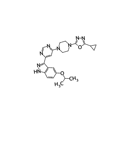 CC(C)Oc1ccc2[nH]nc(-c3cc(N4CCN(c5nnc(C6CC6)o5)CC4)ncn3)c2c1